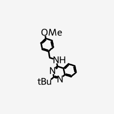 COc1ccc(CNc2nc(C(C)(C)C)nc3ccccc23)cc1